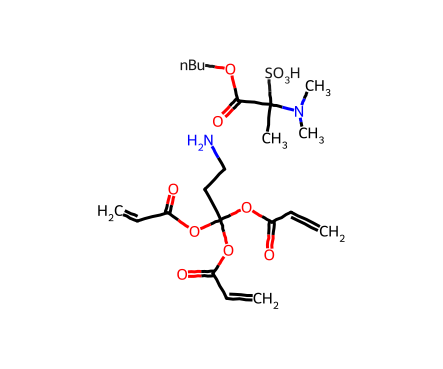 C=CC(=O)OC(CCN)(OC(=O)C=C)OC(=O)C=C.CCCCOC(=O)C(C)(N(C)C)S(=O)(=O)O